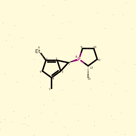 CCC1=C2C(=C(C)C1)[C@@H]2P1CCC[C@@H]1C